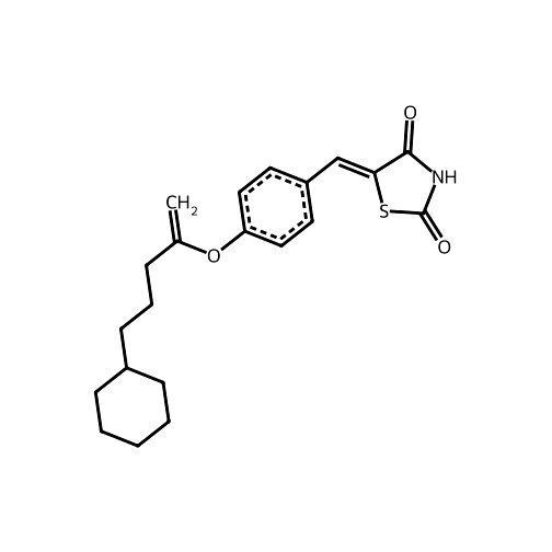 C=C(CCCC1CCCCC1)Oc1ccc(/C=C2\SC(=O)NC2=O)cc1